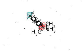 CCO[Si](OCC)(OCC)c1ccc(-c2ccc(C(F)(F)F)cc2)cc1